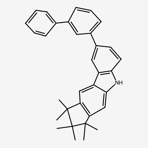 CC1(C)c2cc3[nH]c4ccc(-c5cccc(-c6ccccc6)c5)cc4c3cc2C(C)(C)C1(C)C